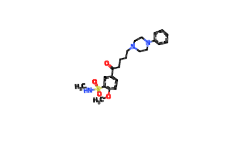 CNS(=O)(=O)c1cc(C(=O)CCCCN2CCN(c3ccccc3)CC2)ccc1OC